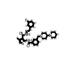 Cc1csc(NC(=O)c2cccc(CN3CCC(N4CCCCC4)CC3)c2)c1C(=O)NN=Cc1cccc(F)c1